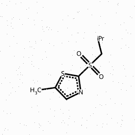 Cc1cnc(S(=O)(=O)CC(C)C)s1